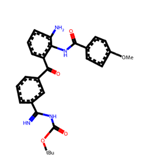 COc1ccc(C(=O)Nc2c(N)cccc2C(=O)c2cccc(C(=N)NC(=O)OC(C)(C)C)c2)cc1